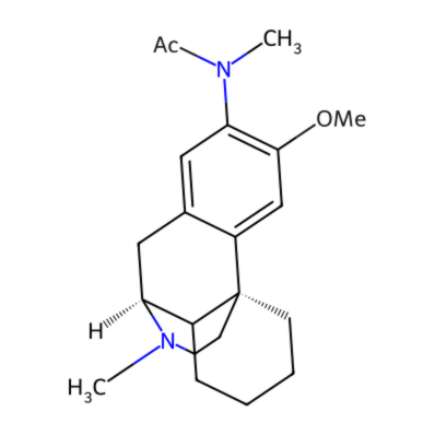 COc1cc2c(cc1N(C)C(C)=O)C[C@H]1C3CCCC[C@@]23CCN1C